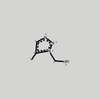 CCCCn1nncc1C